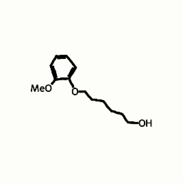 COc1ccccc1OCCCCCCO